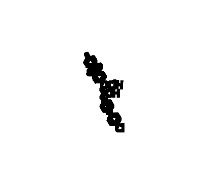 Cc1ccc(S(=O)(=O)c2ccc(OCC(O)CN3CCN(c4ccc(Cl)cc4)CC3)cc2)cc1.Cl